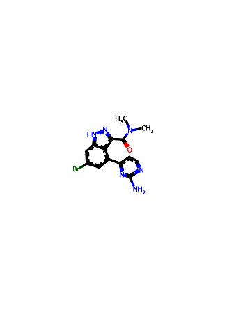 CN(C)C(=O)c1n[nH]c2cc(Br)cc(-c3ccnc(N)n3)c12